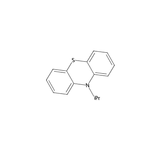 CC(C)N1c2ccccc2Sc2ccccc21